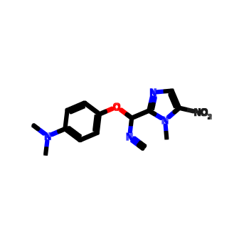 C=NC(Oc1ccc(N(C)C)cc1)c1ncc([N+](=O)[O-])n1C